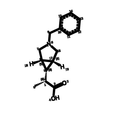 C[C@@H](C(=O)O)[C@@H]1[C@@H]2CN(Cc3ccccc3)C[C@@H]21